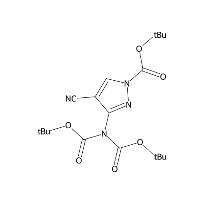 CC(C)(C)OC(=O)N(C(=O)OC(C)(C)C)c1nn(C(=O)OC(C)(C)C)cc1C#N